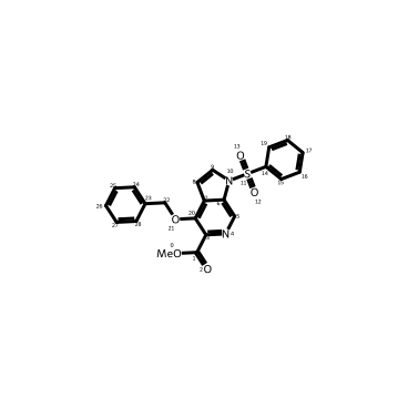 COC(=O)c1ncc2c(ccn2S(=O)(=O)c2ccccc2)c1OCc1ccccc1